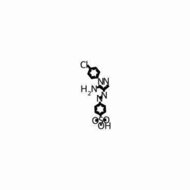 Nc1c(N=Nc2ccc(S(=O)(=O)O)cc2)cnn1-c1ccc(Cl)cc1